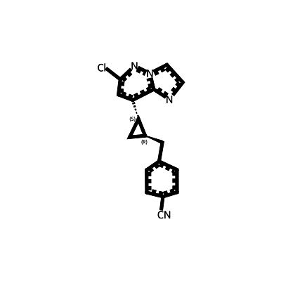 N#Cc1ccc(C[C@H]2C[C@@H]2c2cc(Cl)nn3ccnc23)cc1